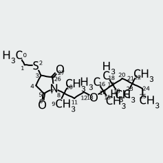 CCSC1CC(=O)N(C(C)(C)CCOC(C)(C)C(C)(C)CC(C)(C)CC)C1=O